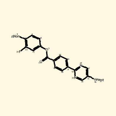 CCCCCCCCCc1ccc(OC(=O)c2ccc(-c3ncc(CCCCCCC)cn3)cc2)cc1F